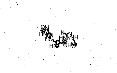 CC1(C)[C@@H](O)C[C@H]1Nc1nc(NCCc2ccc(CC3(C)[C@@H](O)C[C@H]3Nc3nc(NCCc4ccon4)ncc3C#N)c3cc[nH]c23)ncc1C#N